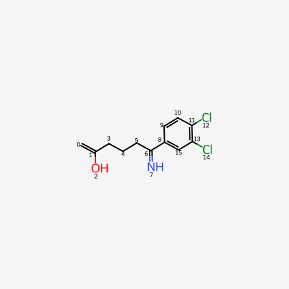 C=C(O)CCCC(=N)c1ccc(Cl)c(Cl)c1